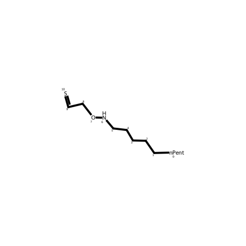 CCCCCCCCCCNOCC=S